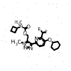 CN(C(=O)OCc1c(-c2ccc(OC3CCCCC3)c(C(F)F)n2)nnn1C)C1CCC1